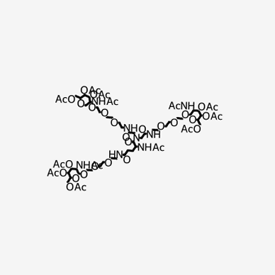 CC(=O)NC(CCC(=O)NCCOCCOCCOC1OC(COC(C)=O)C(OC(C)=O)C(OC(C)=O)C1NC(C)=O)C(=O)N(CC(=O)NCCOCCOCCOC1OC(COC(C)=O)C(OC(C)=O)C(OC(C)=O)C1NC(C)=O)CC(=O)NCCOCCOCCOC1(NC(C)=O)COC(COC(C)=O)C(OC(C)=O)C1OC(C)=O